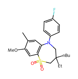 CCCCC1(CC)CN(c2ccc(F)cc2)c2cc(C)c(OC)cc2S(=O)(=O)C1